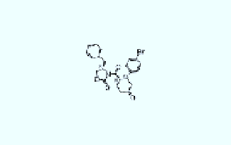 O=C1CC[C@@H](C(=O)N2C(=O)OC[C@H]2Cc2ccccc2)[C@H](c2ccc(Br)cc2)C1